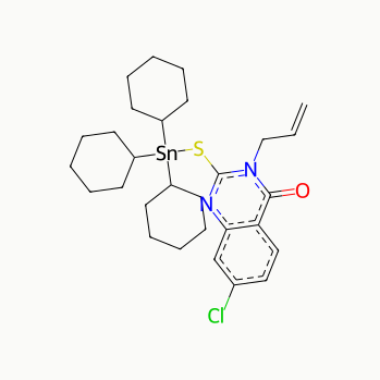 C=CCn1c([S][Sn]([CH]2CCCCC2)([CH]2CCCCC2)[CH]2CCCCC2)nc2cc(Cl)ccc2c1=O